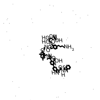 Cc1c(-c2ccc(-c3ccc4[nH]cc(C(=O)Nc5nc6ccccc6s5)c4c3)nc2C(=O)O)cnn1CC12CC3(C)CC(C)(C1)CC(OCCN(C)C(=O)OCc1ccc(CCCCN)cc1O[C@@H]1O[C@H](C(=O)O)[C@@H](O)[C@H](O)[C@H]1O)(C3)C2